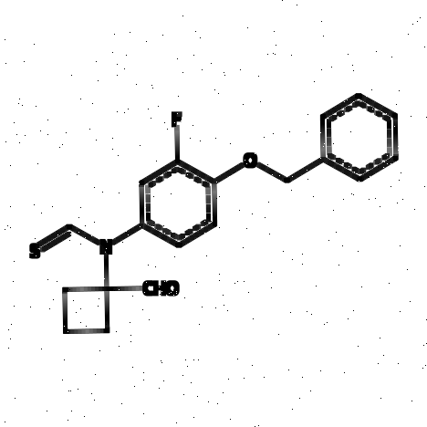 O=CC1(N(C=S)c2ccc(OCc3ccccc3)c(F)c2)CCC1